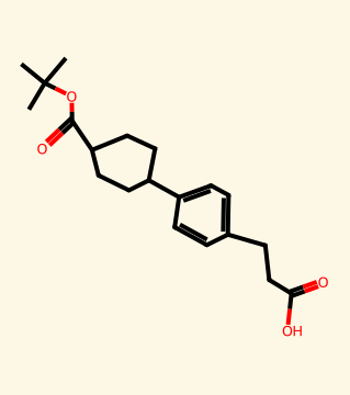 CC(C)(C)OC(=O)C1CCC(c2ccc(CCC(=O)O)cc2)CC1